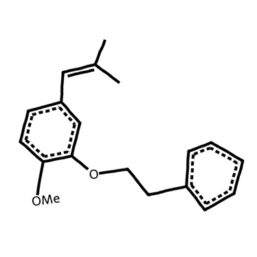 COc1ccc(C=C(C)C)cc1OCCc1ccccc1